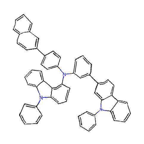 c1ccc(-n2c3ccccc3c3ccc(-c4cccc(N(c5ccc(-c6ccc7ccccc7c6)cc5)c5cccc6c5c5ccccc5n6-c5ccccc5)c4)cc32)cc1